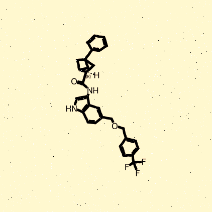 O=C(Nc1c[nH]c2ccc(COCc3ccc(C(F)(F)F)cc3)cc12)[C@@H]1CC2(c3ccccc3)CC1C2